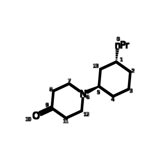 CCC[C@@H]1CCC[C@@H](N2CCC(=O)CC2)C1